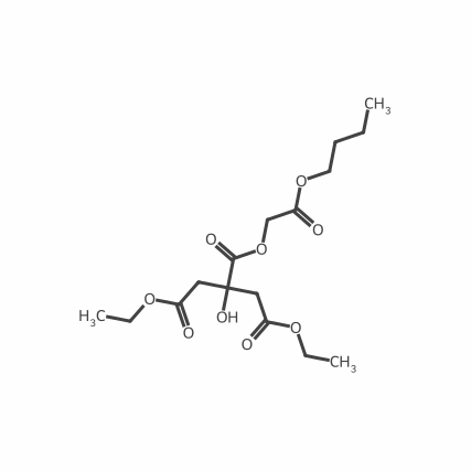 CCCCOC(=O)COC(=O)C(O)(CC(=O)OCC)CC(=O)OCC